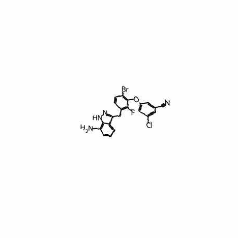 N#Cc1cc(Cl)cc(Oc2c(Br)ccc(Cc3n[nH]c4c(N)cccc34)c2F)c1